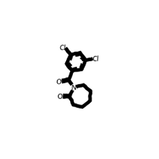 O=C1CCCCCN1C(=O)c1cc(Cl)cc(Cl)c1